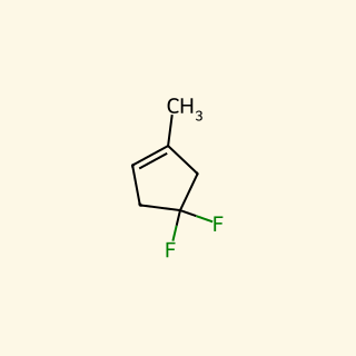 CC1=CCC(F)(F)C1